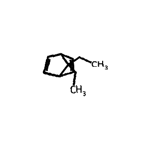 CCC1(CC)C2C=CC1C=C2